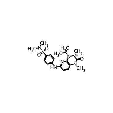 CC(C)N1c2nc(Nc3ccc(S(=O)(=O)N(C)C)cc3)ccc2N(C)C(=O)[C@H]1C